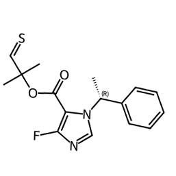 C[C@H](c1ccccc1)n1cnc(F)c1C(=O)OC(C)(C)C=S